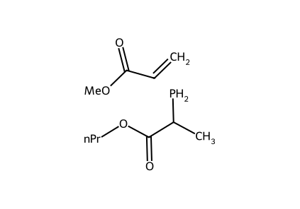 C=CC(=O)OC.CCCOC(=O)C(C)P